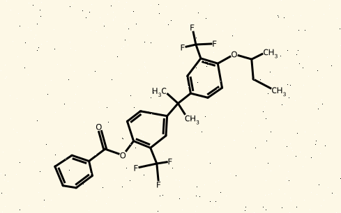 CCC(C)Oc1ccc(C(C)(C)c2ccc(OC(=O)c3ccccc3)c(C(F)(F)F)c2)cc1C(F)(F)F